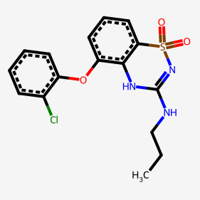 CCCNC1=NS(=O)(=O)c2cccc(Oc3ccccc3Cl)c2N1